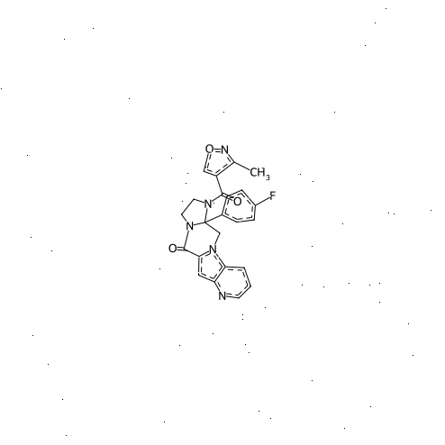 Cc1nocc1C(=O)N1CCN2C(=O)c3cc4ncccc4n3CC12c1ccc(F)cc1